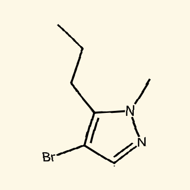 CCCc1c(Br)[c]nn1C